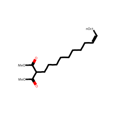 CCCCCCCC/C=C\CCCCCCCCC(C(=O)OC)C(=O)OC